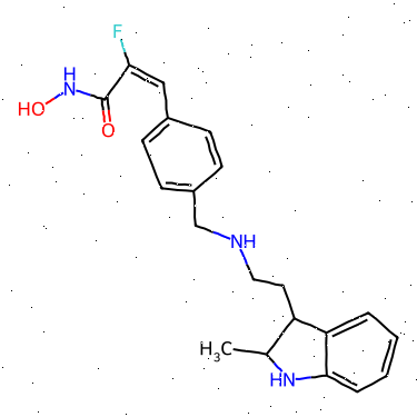 CC1Nc2ccccc2C1CCNCc1ccc(/C=C(/F)C(=O)NO)cc1